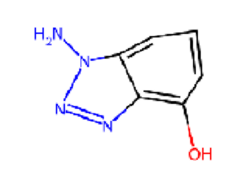 Nn1nnc2c(O)cccc21